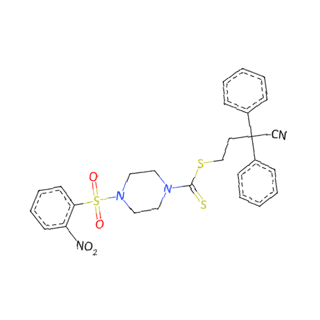 N#CC(CCSC(=S)N1CCN(S(=O)(=O)c2ccccc2[N+](=O)[O-])CC1)(c1ccccc1)c1ccccc1